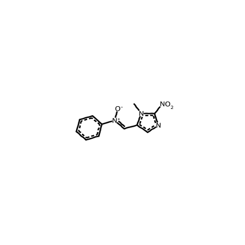 Cn1c(C=[N+]([O-])c2ccccc2)cnc1[N+](=O)[O-]